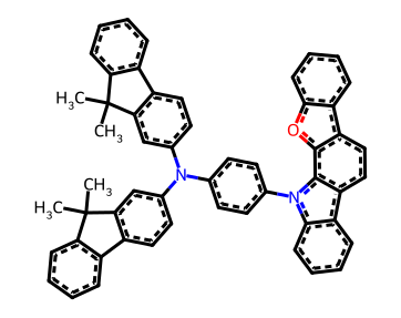 CC1(C)c2ccccc2-c2ccc(N(c3ccc(-n4c5ccccc5c5ccc6c7ccccc7oc6c54)cc3)c3ccc4c(c3)C(C)(C)c3ccccc3-4)cc21